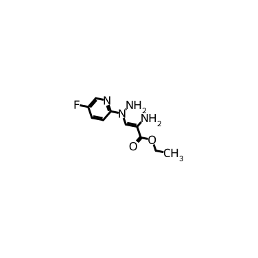 CCOC(=O)/C(N)=C/N(N)c1ccc(F)cn1